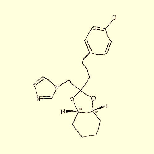 Clc1ccc(CCC2(Cn3ccnc3)O[C@H]3CCCC[C@H]3O2)cc1